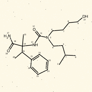 CC(C)CCN(CCCCO)C(=O)NC(C)(C(N)=O)C(C)c1ccccc1